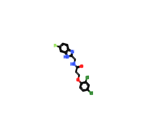 O=C(CCOc1ccc(Cl)cc1Cl)NCc1nc2ccc(F)cc2[nH]1